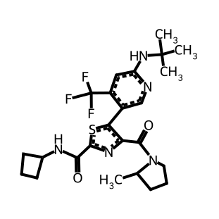 CC1CCCN1C(=O)c1nc(C(=O)NC2CCC2)sc1-c1cnc(NC(C)(C)C)cc1C(F)(F)F